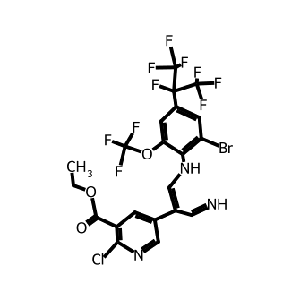 CCOC(=O)c1cc(/C(C=N)=C/Nc2c(Br)cc(C(F)(C(F)(F)F)C(F)(F)F)cc2OC(F)(F)F)cnc1Cl